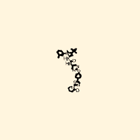 Cc1cccc(-n2nc(C(C)(C)C)cc2NC(=O)Nc2cnc(Oc3ccc(-c4cnc(N5CCCCC5=O)s4)cc3)nc2)c1